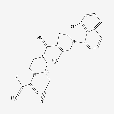 C=C(F)C(=O)N1CCN(C(=N)C2=C(N)CN(c3cccc4cccc(Cl)c34)CC2)C[C@@H]1CC#N